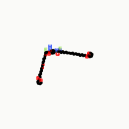 O=C(N[C@@H]1CC[C@H](NC(=O)/C(F)=C\CCCCCCCCCCCCCCCOC2CCCCO2)C1)/C(F)=C/CCCCCCCCCCCCCCCOC1CCCCO1